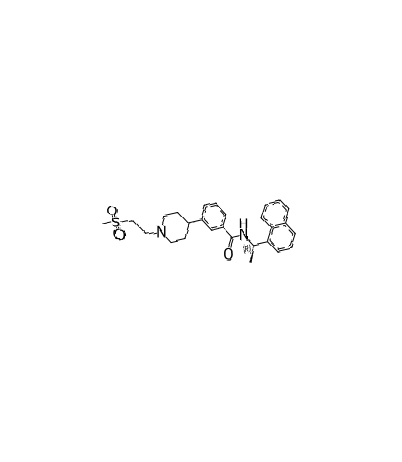 C[C@@H](NC(=O)c1cccc(C2CCN(CCS(C)(=O)=O)CC2)c1)c1cccc2ccccc12